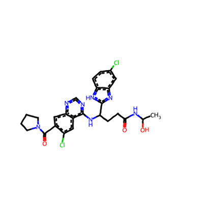 CC(O)NC(=O)CCC(Nc1ncnc2cc(C(=O)N3CCCC3)c(Cl)cc12)c1nc2cc(Cl)ccc2[nH]1